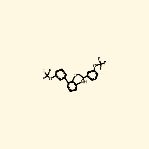 FC(F)(F)Oc1cccc(-c2cccc3c2OCC(c2cccc(OC(F)(F)F)c2)N3)c1